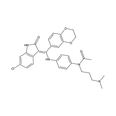 CC(=O)N(CCCN(C)C)c1ccc(NC(=C2C(=O)Nc3cc(Cl)ccc32)c2ccc3c(c2)OCCO3)cc1